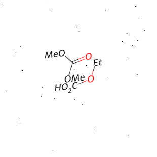 CCOC(=O)O.COC(=O)OC